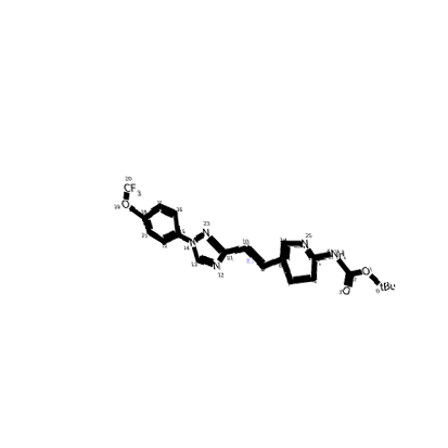 CC(C)(C)OC(=O)Nc1ccc(/C=C/c2ncn(-c3ccc(OC(F)(F)F)cc3)n2)cn1